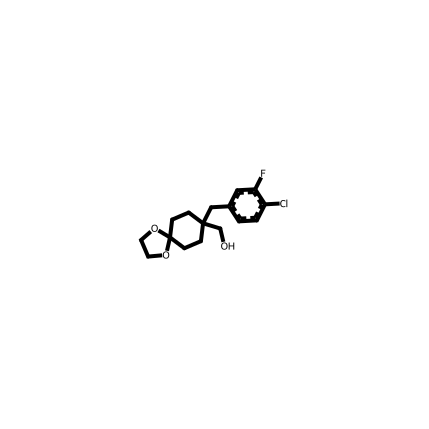 OCC1(Cc2ccc(Cl)c(F)c2)CCC2(CC1)OCCO2